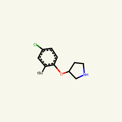 CC(C)(C)c1cc(Cl)ccc1OC1CCNC1